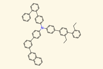 CCc1ccccc1-c1ccc(-c2ccc(N(c3ccc(-c4cccc(-c5ccc6ccccc6c5)c4)cc3)c3ccc(-c4ccccc4-c4ccccc4)cc3)cc2)cc1CC